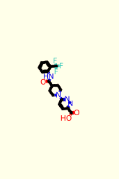 O=C(O)c1ccc(N2CCC(C(=O)Nc3ccccc3C(F)(F)F)CC2)nn1